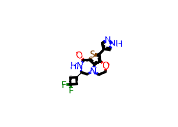 O=C1N[C@H](C2CC(F)(F)C2)CN2CCOc3c(-c4cn[nH]c4)sc1c32